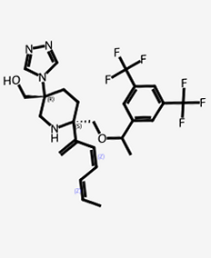 C=C(/C=C\C=C/C)[C@]1(COC(C)c2cc(C(F)(F)F)cc(C(F)(F)F)c2)CC[C@@](CO)(n2cnnc2)CN1